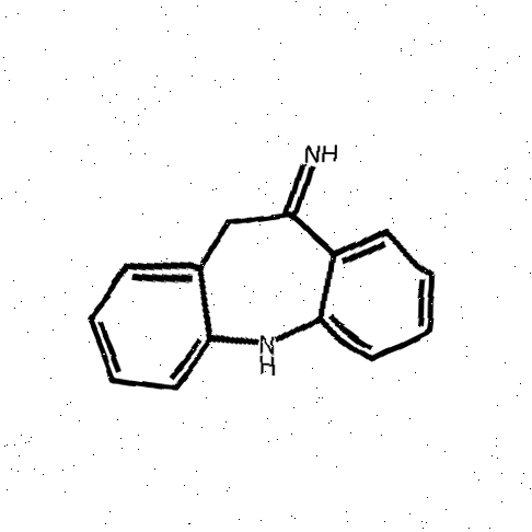 N=C1Cc2ccccc2Nc2ccccc21